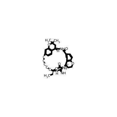 CC[C@]12CCCCCc3ccc4c(c3)OC(C)(C)C[C@@H]4NC(=O)c3ccc4c(c3)[C@@H](CCO4)N(C(=N)N1)C(=O)C2